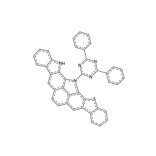 c1ccc(-c2nc(-c3ccccc3)nc(-n3c4c5[nH]c6ccccc6c5cc5ccc6cc7c8ccccc8sc7c3c6c54)n2)cc1